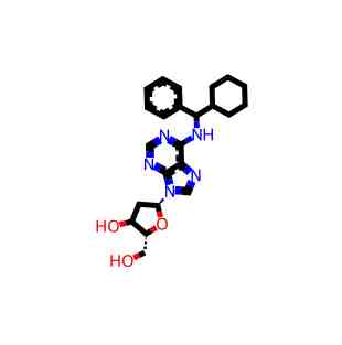 OC[C@H]1O[C@@H](n2cnc3c(NC(c4ccccc4)C4CCCCC4)ncnc32)CC1O